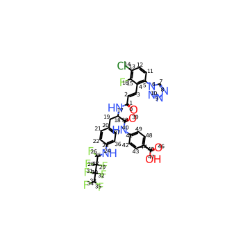 O=C(C=Cc1c(-n2cnnn2)ccc(Cl)c1F)NC(Cc1ccc(NC(F)C(F)(F)C(F)(F)C(F)F)cc1)C(=O)Nc1ccc(C(=O)O)cc1